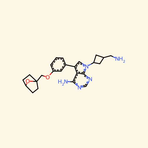 NCC1CC(n2cc(-c3cccc(OCC45CCC(CC4)O5)c3)c3c(N)ncnc32)C1